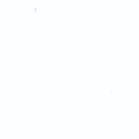 CC(C)CCCCCOC(=O)OC1CCCCC1OC(=O)OCC(C)C